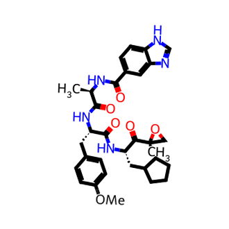 COc1ccc(C[C@H](NC(=O)[C@@H](C)NC(=O)c2ccc3[nH]cnc3c2)C(=O)N[C@@H](CC2CCCC2)C(=O)[C@@]2(C)CO2)cc1